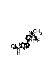 Cc1nc2ccc(-c3ccn4nc(NC5COC5)ncc34)nc2n1CC(F)F